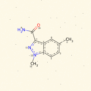 Cc1ccc2c(c1)c(C(N)=O)nn2C